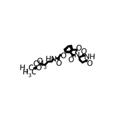 CC(C)(C)OC(=O)CCCNC(=O)COc1cccc2c1C(=O)N(C1CCC(=O)NC1=O)C2=O